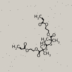 C=CC(=O)OCCOC(=O)C(C)(C)SC(=S)SC(C)(C)C(=O)OCCOC(=O)C=C